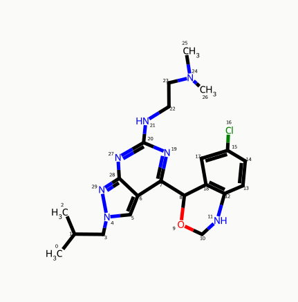 CC(C)Cn1cc2c(C3OCNc4ccc(Cl)cc43)nc(NCCN(C)C)nc2n1